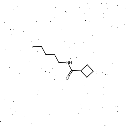 CCCCCNC(=O)C1CCC1